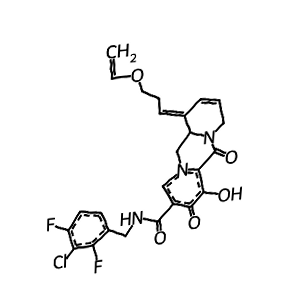 C=COCC/C=C1\C=CCN2C(=O)c3c(O)c(=O)c(C(=O)NCc4ccc(F)c(Cl)c4F)cn3CC12